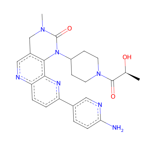 C[C@H](O)C(=O)N1CCC(N2C(=O)N(C)Cc3cnc4ccc(-c5ccc(N)nc5)nc4c32)CC1